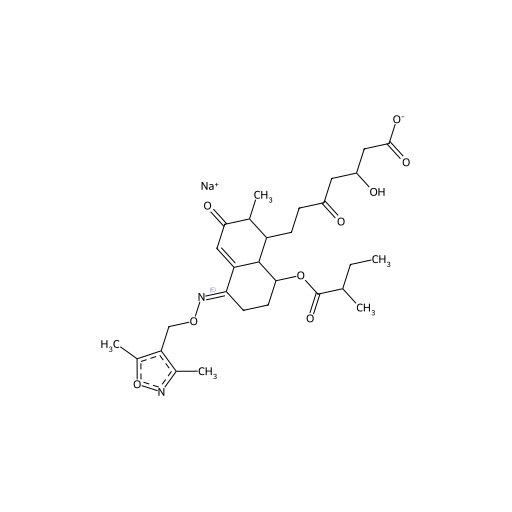 CCC(C)C(=O)OC1CC/C(=N\OCc2c(C)noc2C)C2=CC(=O)C(C)C(CCC(=O)CC(O)CC(=O)[O-])C21.[Na+]